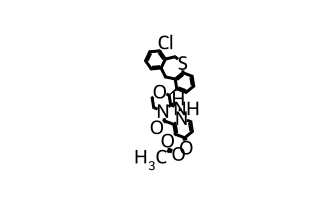 CC(=O)Oc1c2n(ccc1=O)N[C@@H]1[C@H](c3cccc4c3Cc3cccc(Cl)c3CS4)OCCN1C2=O